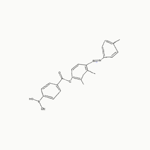 Cc1ccc(/N=N/c2ccc(OC(=O)c3ccc(B(O)O)cc3)c(C)c2C)cc1